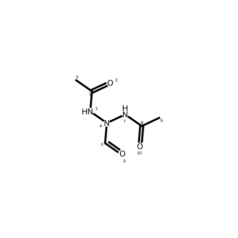 CC(=O)NN(C=O)NC(C)=O